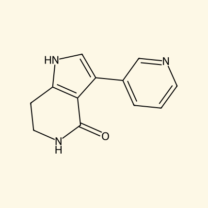 O=C1NCCc2[nH]cc(-c3cccnc3)c21